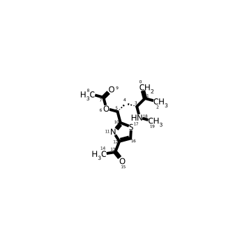 C=C(C)[C@@H](C[C@@H](OC(C)=O)c1nc(C(C)=O)cs1)NC